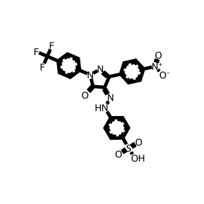 O=C1C(=NNc2ccc(S(=O)(=O)O)cc2)C(c2ccc([N+](=O)[O-])cc2)=NN1c1ccc(C(F)(F)F)cc1